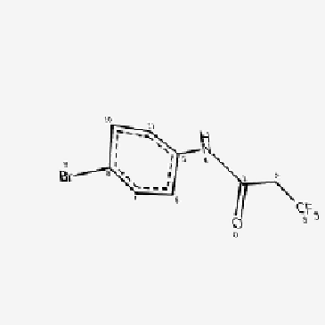 O=C(CC(F)(F)F)Nc1ccc(Br)cc1